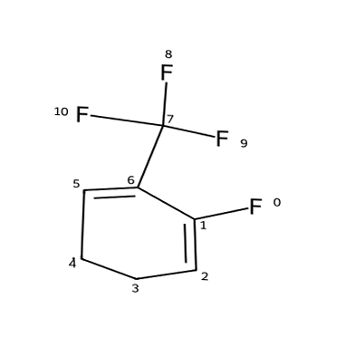 FC1=CC[CH]C=C1C(F)(F)F